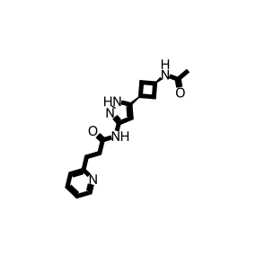 CC(=O)N[C@H]1C[C@@H](c2cc(NC(=O)CCc3ccccn3)n[nH]2)C1